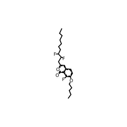 CCCCCCCC(F)C(F)Cc1cc2ccc(OCCCCC)c(F)c2c(=O)o1